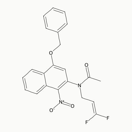 CC(=O)N(CC=C(F)F)c1cc(OCc2ccccc2)c2ccccc2c1[N+](=O)[O-]